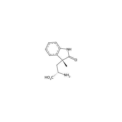 C[C@]1(C[C@H](N)C(=O)O)C(=O)Nc2ccccc21